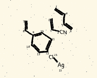 C=CC#N.C=CC=C.C=Cc1ccccc1.[Cl][Ag]